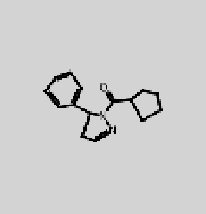 O=C(C1CCCC1)N1N=CCC1c1ccccc1